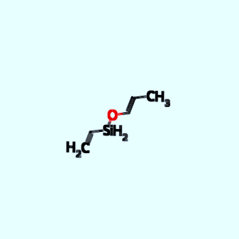 C=C[SiH2]OC=CC